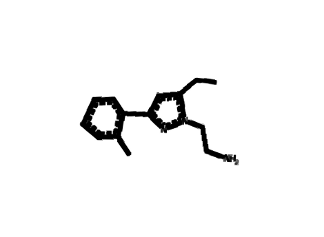 CCc1cc(-c2ccccc2C)nn1CCN